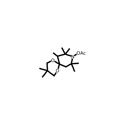 CC(=O)ON1C(C)(C)CC2(OCC(C)(C)CO2)C(C)C1(C)C